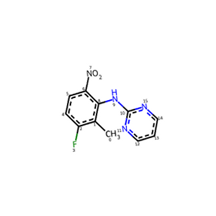 Cc1c(F)ccc([N+](=O)[O-])c1Nc1ncccn1